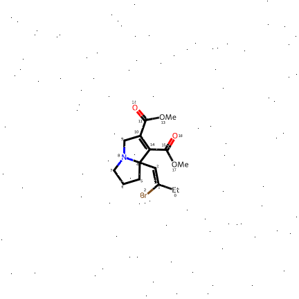 CCC(Br)=CC12CCCN1CC(C(=O)OC)=C2C(=O)OC